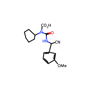 COc1cccc(C(C#N)NC(=O)N(C(=O)O)C2CCCCC2)c1